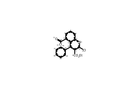 CCOC(=O)c1c(Cl)nc2cccc(C(=O)Cl)c2c1-c1ccccc1